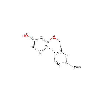 COc1ccc2c(c1)COc1cc(O)ccc1-2